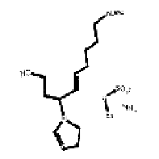 CCCCCCCCCCCCCCC=CC(CCO)N1C=NCC1.CCOS(=O)(=O)O.N